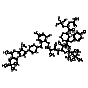 CC(NCc1c(F)cc(Cl)cc1Oc1ccc(-c2cnc(CN(C)C(=O)OC(C)(C)C)n2C)cc1)C(=O)NC(CO[Si](C)(C)C(C)(C)C)C(=O)N(C)C1(Cc2ccc(Cl)cc2)CCCN(C(=O)C(CC(=O)O)CC(F)(F)F)C1